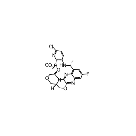 C[C@@H](Nc1ccc(Cl)nc1C(=O)O)c1cc(F)cc2nc3c(nc12)N1C(=O)COC[C@H]1CO3